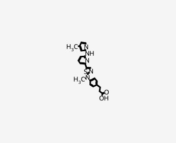 Cc1ccnc(Nc2cccc(-c3cnc(N(C)c4ccc(CCC(=O)O)cc4)s3)n2)c1